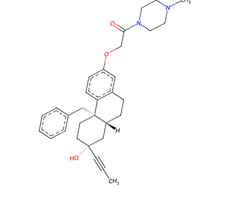 CC#C[C@@]1(O)CC[C@@]2(Cc3ccccc3)c3ccc(OCC(=O)N4CCN(C)CC4)cc3CC[C@@H]2C1